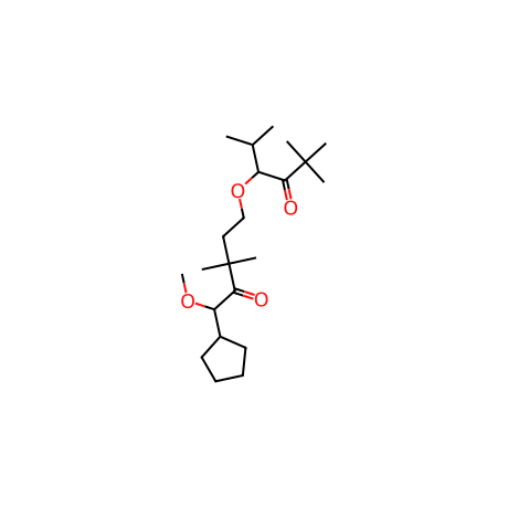 COC(C(=O)C(C)(C)CCOC(C(=O)C(C)(C)C)C(C)C)C1CCCC1